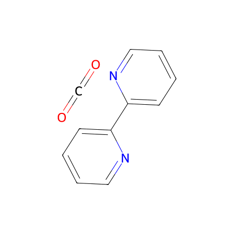 O=C=O.c1ccc(-c2ccccn2)nc1